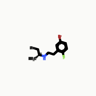 CC(C)C[C@H](NCCc1cc(Br)ccc1F)C(=O)O